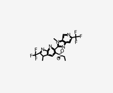 CCS(=O)(=O)c1cc2c(nc1-c1nc3cc(C(F)(F)F)ncc3n1C)N=C(C(F)(F)F)C2C